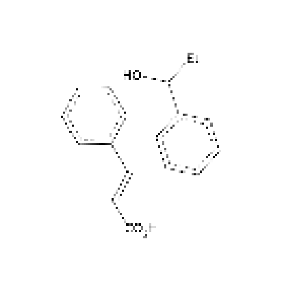 CCC(O)c1ccccc1.O=C(O)C=Cc1ccccc1